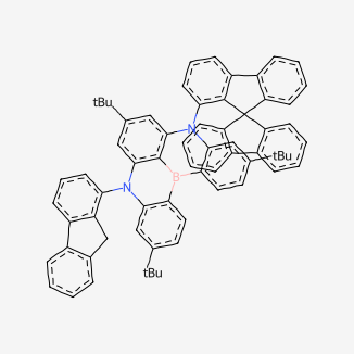 CC(C)(C)c1ccc2c(c1)N(c1cccc3c1Cc1ccccc1-3)c1cc(C(C)(C)C)cc3c1B2c1ccc(C(C)(C)C)cc1N3c1cccc2c1C1(c3ccccc3-c3ccccc31)c1ccccc1-2